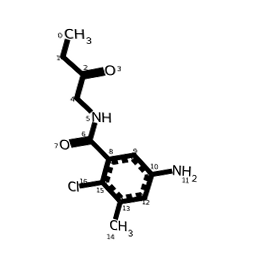 CCC(=O)CNC(=O)c1cc(N)cc(C)c1Cl